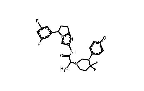 CC(C(=O)Nc1cn2c(n1)CCC2c1cc(F)cc(F)c1)N1CCC(F)(F)[C@H](c2cc[n+]([O-])cc2)C1